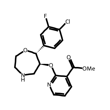 COC(=O)c1cccnc1O[C@H]1CNCCO[C@@H]1c1ccc(Cl)c(F)c1